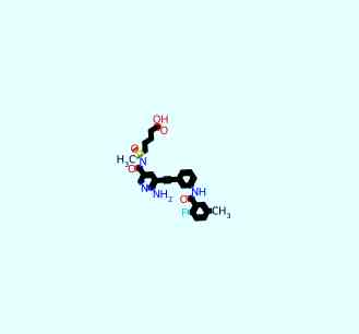 Cc1ccc(F)c(C(=O)Nc2cccc(C#Cc3cc(C(=O)N=S(C)(=O)CCCCC(=O)O)cnc3N)c2)c1